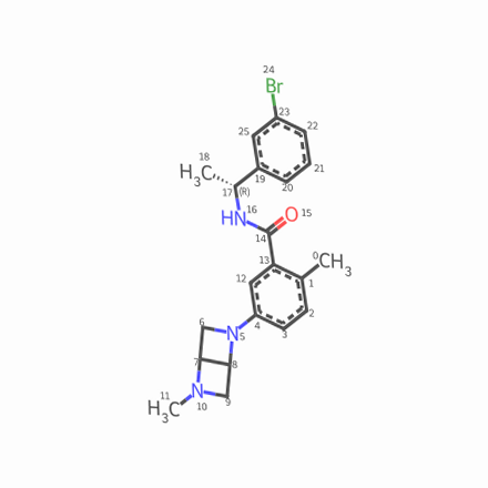 Cc1ccc(N2CC3C2CN3C)cc1C(=O)N[C@H](C)c1cccc(Br)c1